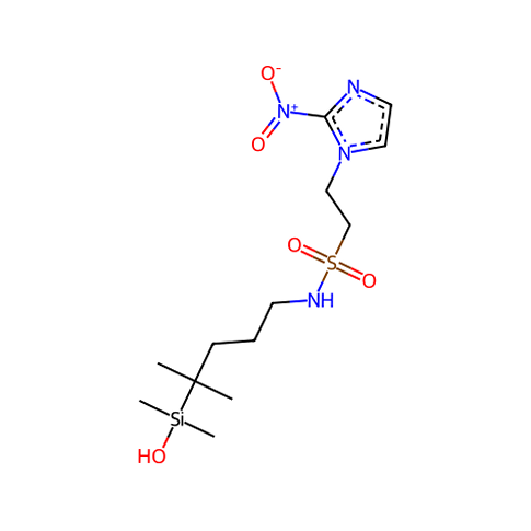 CC(C)(CCCNS(=O)(=O)CCn1ccnc1[N+](=O)[O-])[Si](C)(C)O